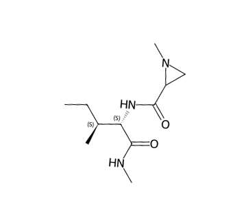 CC[C@H](C)[C@H](NC(=O)C1CN1C)C(=O)NC